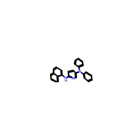 c1ccc(N(c2ccccc2)c2ccc(Nc3cccc4ccccc34)nc2)cc1